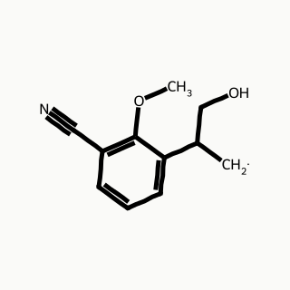 [CH2]C(CO)c1cccc(C#N)c1OC